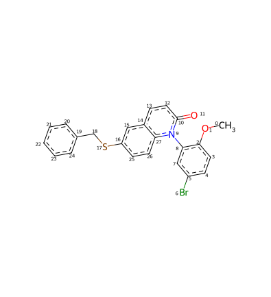 COc1ccc(Br)cc1-n1c(=O)ccc2cc(SCc3ccccc3)ccc21